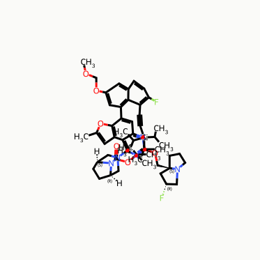 COCOc1cc(-c2cc3nc(OC[C@@]45CCCN4C[C@H](F)C5)nc(N4C[C@H]5CC[C@@H](C4)N5C(=O)OC(C)(C)C)c3c3cc(C)oc23)c2c(C#C[Si](C(C)C)(C(C)C)C(C)C)c(F)ccc2c1